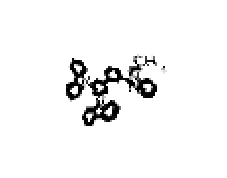 CCCn1c(-c2cccc(-c3cc(-n4c5ccccc5c5ccccc54)cc(-n4c5ccccc5c5ccccc54)c3)c2)nc2ccccc21